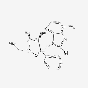 Nc1ncnc2c1nc(Cl)n2[C@]1(c2ccccc2)O[C@H](CO)[C@@H](O)[C@H]1S